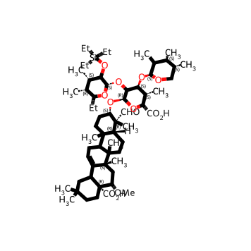 CCC1O[C@@H](OC2[C@H](O[C@H]3CCC4(C)C5CC=C6C7CC(C)(C)CC[C@]7(C(=O)O)C(OC)C[C@@]6(C)C5(C)CC[C@H]4[C@@]3(C)C=O)OC(C(=O)O)[C@@H](C)[C@@H]2O[C@@H]2OC[C@@H](C)[C@H](C)C2C)C(O[Si](CC)(CC)CC)[C@@H](C)[C@H]1C